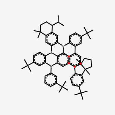 CC(C)C1CCC(C)(C)c2cc3c(cc21)N(c1ccc(C(C)(C)C)cc1-c1ccccc1)c1cc(N2c4ccc(C(C)(C)C)cc4C4(C)CCCC24C)cc2c1B3c1ccc(C(C)(C)C)cc1N2c1cccc(C(C)(C)C)c1